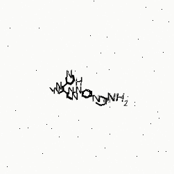 CCn1cc(-c2ccnc(Nc3ccc(N4CCC[C@H](N)C4)cc3)n2)c(-c2cccnc2)n1